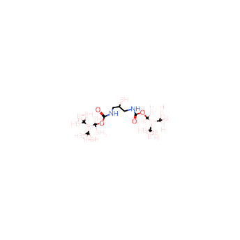 BC(CNC(=O)OC(B)(B)B(C12BB1B2)C12BB1B2)CNC(=O)OC(B)(B)B(C12BB1B2)C12BB1B2